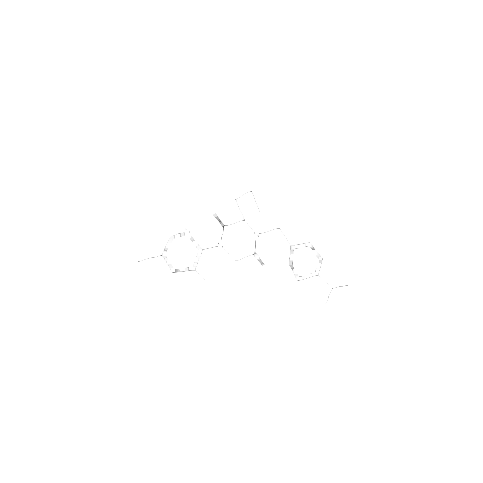 O=C1CN(c2ncc(Cl)cc2F)C(=O)[C@]2(C[C@@H](C(=O)O)C2)N1Cc1ccc(C(F)F)cc1